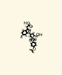 CC(C)Oc1ccc(S(=O)(=O)N2C[C@H](n3nc(CC(=O)O)c4ccc(F)cc43)C[C@H]2CO)cc1